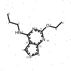 CCCNc1nc(OCC)nc2cscc12